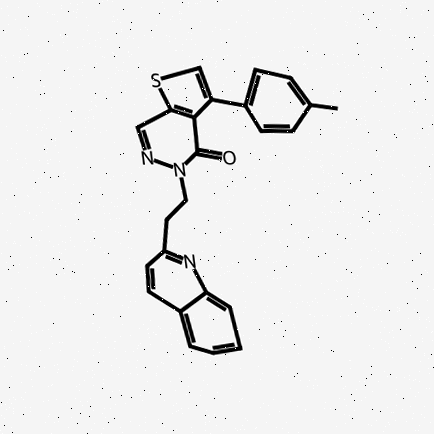 Cc1ccc(-c2csc3cnn(CCc4ccc5ccccc5n4)c(=O)c23)cc1